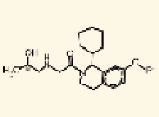 CC(C)Oc1ccc2c(c1)C(C1CCCCC1)N(C(=O)CNC[C@@H](C)O)CC2